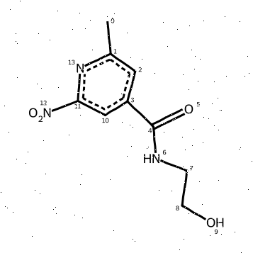 Cc1cc(C(=O)NCCO)cc([N+](=O)[O-])n1